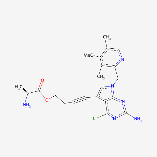 COc1c(C)cnc(Cn2cc(C#CCCOC(=O)[C@H](C)N)c3c(Cl)nc(N)nc32)c1C